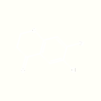 O=C1CCOc2cc(Br)c(Cl)cc21